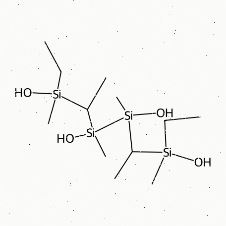 CC[Si](C)(O)C(C)[Si](C)(O)[Si](C)(O)C(C)[Si](C)(O)CC